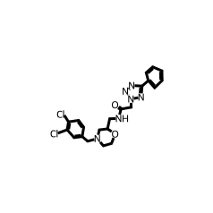 O=C(Cn1nnc(-c2ccccc2)n1)NCC1CN(Cc2ccc(Cl)c(Cl)c2)CCO1